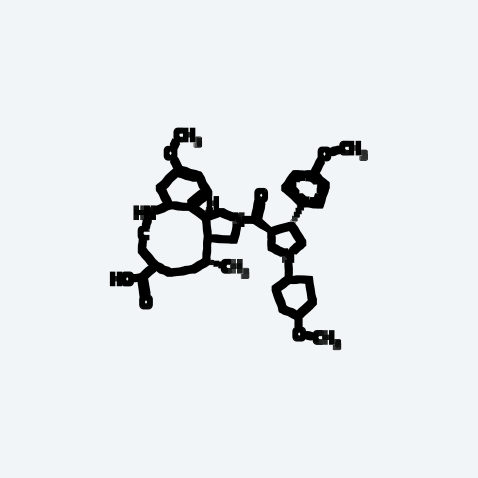 COC1=CC=C2C(C1)NCCC(C(=O)O)CC[C@@H](C)C1CN(C(=O)[C@@H]3CN(C4CCC(OC)CC4)C[C@H]3c3ccc(OC)cc3)C[C@H]21